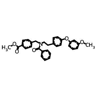 COC(=O)c1ccc(CN(CCc2ccc(Oc3cccc(OC)c3)cc2)C(=O)c2ccccc2)cc1